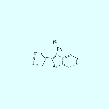 Cc1c(-c2cccnc2)[nH]c2ccccc12.Cl